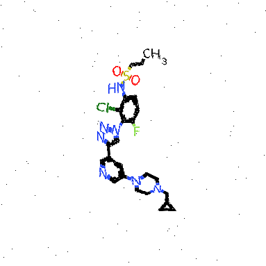 CCCS(=O)(=O)Nc1ccc(F)c(-n2cc(-c3cncc(N4CCN(CC5CC5)CC4)c3)nn2)c1Cl